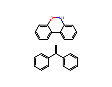 C=C(c1ccccc1)c1ccccc1.c1ccc2c(c1)NOc1ccccc1-2